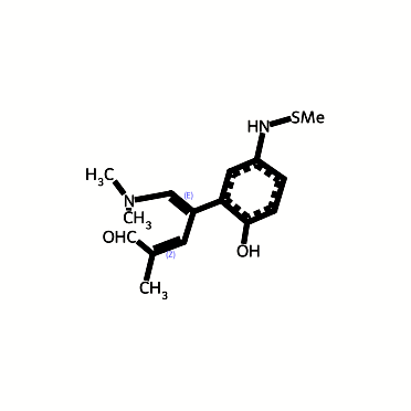 CSNc1ccc(O)c(C(/C=C(/C)C=O)=C/N(C)C)c1